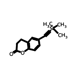 C[Si](C)(C)C#Cc1ccc2c(c1)CCC(=O)O2